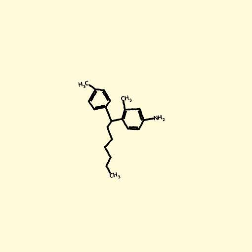 CCCCCCC(c1ccc(C)cc1)c1ccc(N)cc1C